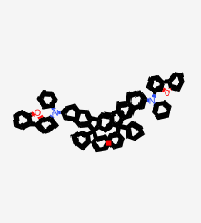 c1ccc(N(c2ccc3cc4c(cc3c2)C(c2ccccc2)(c2ccccc2)c2cc3c(cc2-4)-c2cc4ccc(N(c5ccccc5)c5cccc6c5oc5ccccc56)cc4cc2C3(c2ccccc2)c2ccccc2)c2cccc3c2oc2ccccc23)cc1